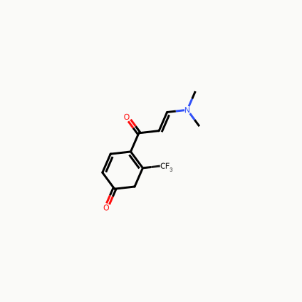 CN(C)C=CC(=O)C1=C(C(F)(F)F)CC(=O)C=C1